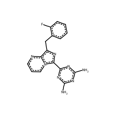 Nc1nc(N)nc(-c2nc(Cc3ccccc3F)c3ncccn23)n1